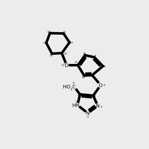 O=C(O)c1[nH]nnc1Oc1cccc(OC2CCCCC2)c1